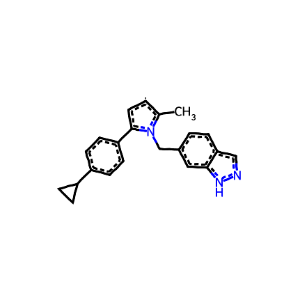 Cc1[c]cc(-c2ccc(C3CC3)cc2)n1Cc1ccc2cn[nH]c2c1